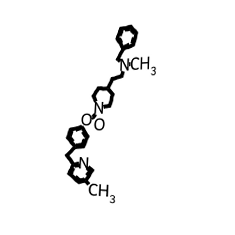 Cc1ccc(Cc2ccc(OC(=O)N3CCC(CCN(C)Cc4ccccc4)CC3)cc2)nc1